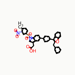 Cc1ccc(S(=O)(=O)n2cc(CC(=O)O)c3cc(-c4ccc(-c5c(Cc6ccccc6)oc6ccccc56)cc4)ccc32)cc1[N+](=O)[O-]